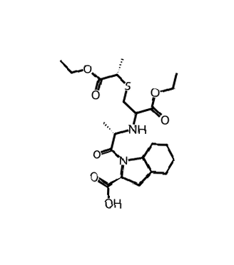 CCOC(=O)C(CS[C@@H](C)C(=O)OCC)N[C@@H](C)C(=O)N1C2CCCCC2C[C@H]1C(=O)O